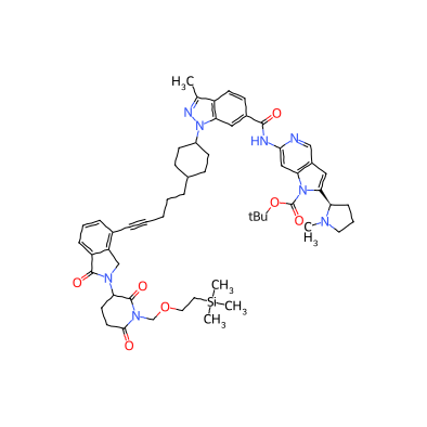 Cc1nn(C2CCC(CCCC#Cc3cccc4c3CN(C3CCC(=O)N(COCC[Si](C)(C)C)C3=O)C4=O)CC2)c2cc(C(=O)Nc3cc4c(cn3)cc([C@H]3CCCN3C)n4C(=O)OC(C)(C)C)ccc12